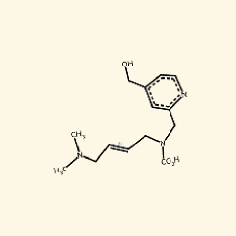 CN(C)C/C=C/CN(Cc1cc(CO)ccn1)C(=O)O